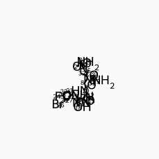 NS(=O)(=O)N1CC(N(CCNc2nonc2C(=NO)Nc2ccc(F)c(Br)c2)S(N)(=O)=O)C1